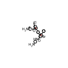 CC1(C)CN(C(=O)C23CC4CC(CCl)(C2)CC(c2ccc(C56CC7(Br)CC(C(=O)N[C@H]8CC[C@H](N)CC8)(CC(c8ccccc8)(C7)C5)C6)cc2)(C4)C3)CC[C@@H]1N